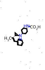 CC(=Cc1ccccc1)[C@@H]1C[C@H]1N[C@H]1CC[C@@H](NC(=O)O)CC1